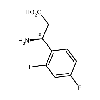 N[C@@H](CC(=O)O)c1ccc(F)cc1F